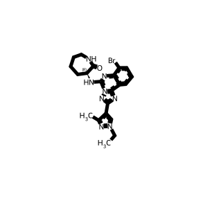 CCn1cc(-c2nc3c4cccc(Br)c4nc(N[C@@H]4CCCCNC4=O)n3n2)c(C)n1